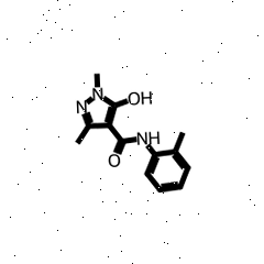 Cc1ccccc1NC(=O)c1c(C)nn(C)c1O